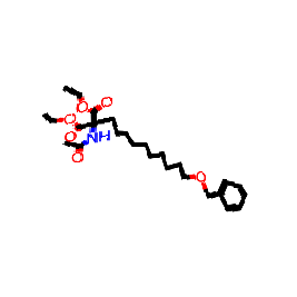 CCOC(=O)C(CCCCCCCCCCOCc1ccccc1)(NC(C)=O)C(=O)OCC